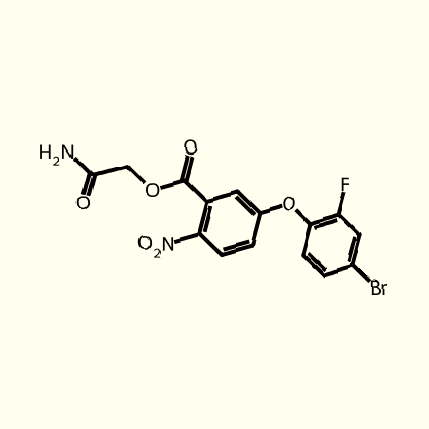 NC(=O)COC(=O)c1cc(Oc2ccc(Br)cc2F)ccc1[N+](=O)[O-]